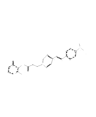 Cc1occc(=O)c1OC(=O)CCN1C=CC(C=Cc2ccc(N(C)C)cc2)=CC1